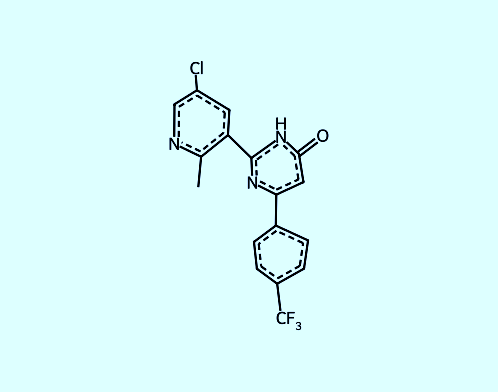 Cc1ncc(Cl)cc1-c1nc(-c2ccc(C(F)(F)F)cc2)cc(=O)[nH]1